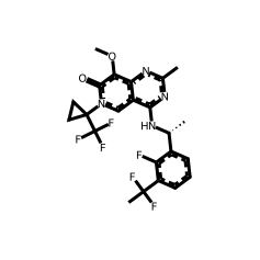 COc1c(=O)n(C2(C(F)(F)F)CC2)cc2c(N[C@H](C)c3cccc(C(C)(F)F)c3F)nc(C)nc12